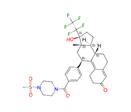 C[C@]12C[C@H](c3ccc(C(=O)N4CCN(S(C)(=O)=O)CC4)cc3)C3=C4CCC(=O)C=C4CC[C@H]3[C@@H]1CC[C@@]2(O)C(F)(F)C(F)(F)F